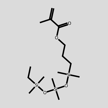 C=C(C)C(=O)OCCC[Si](C)(C)O[Si](C)(C)O[Si](C)(C)CC